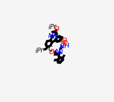 Cc1cccc(C)c1-c1cc2nc(n1)NS(=O)(=O)c1cccc(c1)C1C(c3ncc(OC(C)C)cn3)CCC(CC(C)C)C1CO2